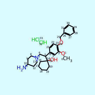 COc1cc(C(CN2CCC(N)CC2)C2(O)CCCCC2)ccc1OCc1ccccc1.Cl.Cl